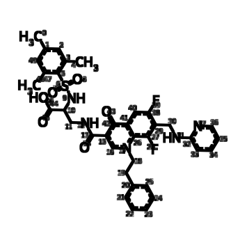 Cc1cc(C)c(S(=O)(=O)NC(CNC(=O)c2cn(CCc3ccccc3)c3c(F)c(CNc4ccccn4)c(F)cc3c2=O)C(=O)O)c(C)c1